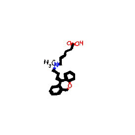 CN(CC/C=C1/c2ccccc2COc2ccccc21)CCCCCC(=O)O